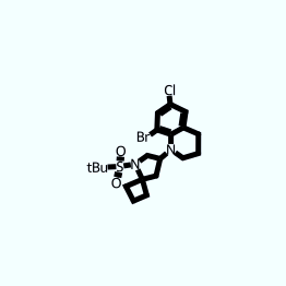 CC(C)(C)S(=O)(=O)N1CC(N2CCCc3cc(Cl)cc(Br)c32)CC12CCC2